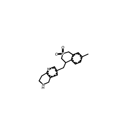 Cc1ccc2c(c1)CS(=O)(=O)CC2Cc1cnc2c(c1)CNCC2